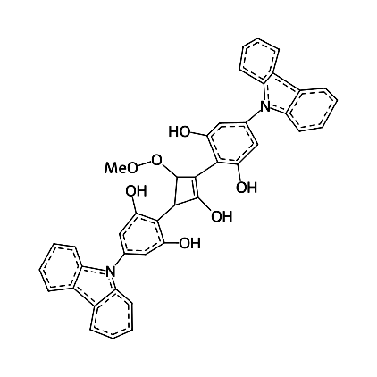 COOC1C(c2c(O)cc(-n3c4ccccc4c4ccccc43)cc2O)=C(O)C1c1c(O)cc(-n2c3ccccc3c3ccccc32)cc1O